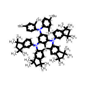 Cc1cc(C(C)(C)C)ccc1N(c1cc2c3c(c1)N(c1ccc4c(c1)C(C)(C)CC4(C)C)c1cc4c(cc1B3c1cc3c(cc1N2c1ccc2c(c1)C(C)(C)CC2(C)C)C(C)(C)CC3(C)C)C(C)(C)CC4(C)C)c1ccc(C(C)(C)C)cc1C